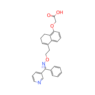 O=C(O)COc1cccc2c1CCC=C2CCO/N=C(\c1ccccc1)c1cccnc1